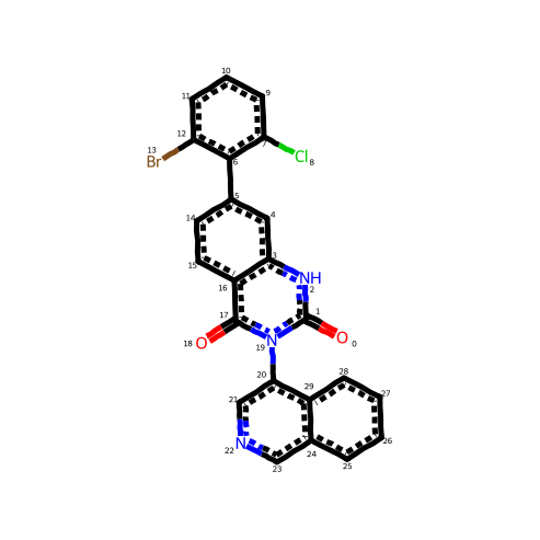 O=c1[nH]c2cc(-c3c(Cl)cccc3Br)ccc2c(=O)n1-c1cncc2ccccc12